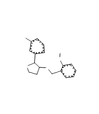 COc1ccccc1CNC1CCNC1c1cccc(Cl)c1